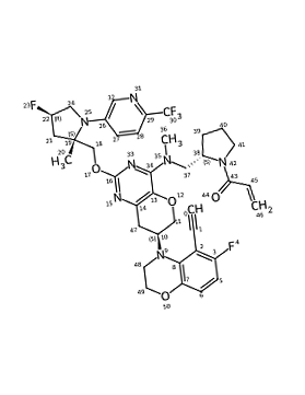 C#Cc1c(F)ccc2c1N([C@@H]1COc3c(nc(OC[C@]4(C)C[C@@H](F)CN4c4ccc(C(F)(F)F)nc4)nc3N(C)C[C@@H]3CCCN3C(=O)C=C)C1)CCO2